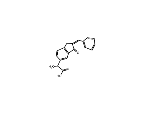 CC(C(=O)O)c1ccc2c(c1)C(=O)C(=Cc1ccccc1)C2